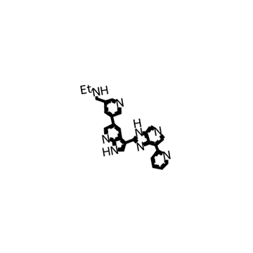 CCNCc1cncc(-c2cnc3[nH]cc(-c4nc5c(-c6ccccn6)cncc5[nH]4)c3c2)c1